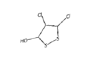 OC1SSC(Cl)C1Cl